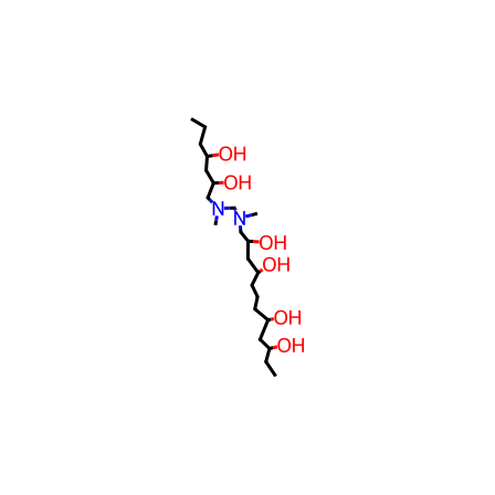 CCCC(O)CC(O)CN(C)CN(C)CC(O)CC(O)CCCC(O)CC(O)CC